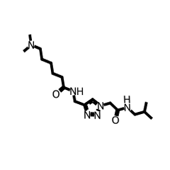 CC(C)CNC(=O)Cn1cc(CNC(=O)CCCCCN(C)C)nn1